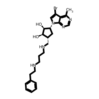 Cc1ncnc2c1c(Br)cn2[C@@H]1C[C@H](CNCCCNCCc2ccccc2)[C@@H](O)[C@H]1O